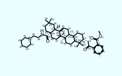 COC(=O)c1ccccc1C(=O)C[C@H]1CC[C@@]2(C)C(CC[C@]3(C)C2CC=C2[C@@H]4CC(C)(C)CC[C@]4(C(=O)NCCN4CCCCC4)CC[C@]23C)C1(C)C